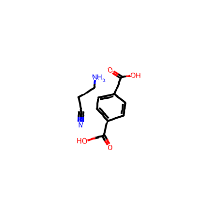 N#CCCN.O=C(O)c1ccc(C(=O)O)cc1